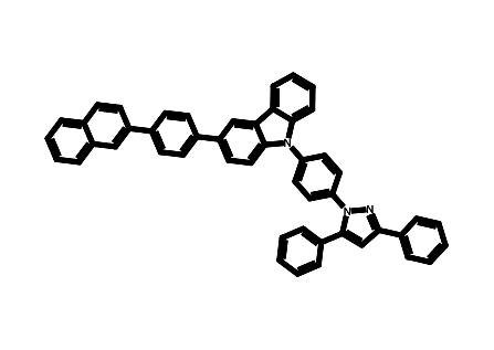 c1ccc(-c2cc(-c3ccccc3)n(-c3ccc(-n4c5ccccc5c5cc(-c6ccc(-c7ccc8ccccc8c7)cc6)ccc54)cc3)n2)cc1